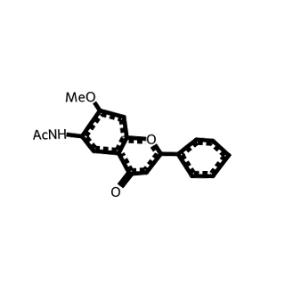 COc1cc2oc(-c3ccccc3)cc(=O)c2cc1NC(C)=O